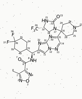 Cc1nonc1C(=O)N[C@H](c1cn2ncc(C3(N4C[C@H](C(F)(F)F)NC4=O)CCN(C)CC3)nc2n1)C1CCC(F)(F)CC1